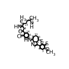 COc1ccc(C2=CN=C3C(Nc4ccc(C(=O)CC(=N)[C@H](C)CCC(C)=N)c(Cl)c4)=CCC=CC23)c(F)c1F